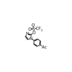 CC(=O)c1ccc(-n2ccnc2OS(=O)(=O)C(F)(F)F)cc1